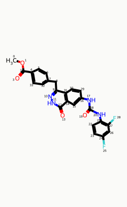 COC(=O)c1ccc(Cc2n[nH]c(=O)c3cc(NC(=O)Nc4ccc(F)cc4F)ccc23)cc1